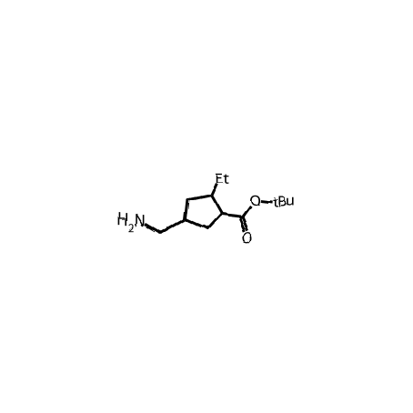 CCC1CC(CN)CC1C(=O)OC(C)(C)C